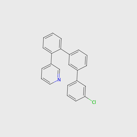 Clc1cccc(-c2cccc(-c3ccccc3-c3cccnc3)c2)c1